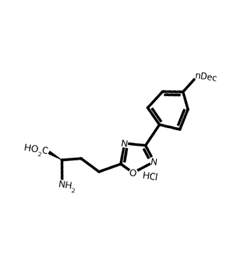 CCCCCCCCCCc1ccc(-c2noc(CC[C@@H](N)C(=O)O)n2)cc1.Cl